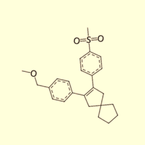 COCc1ccc(C2=C(c3ccc(S(C)(=O)=O)cc3)CC3(CCCC3)C2)cc1